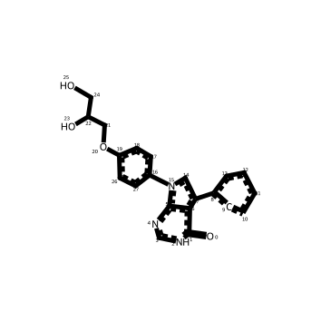 O=c1[nH]cnc2c1c(-c1ccccc1)cn2-c1ccc(OCC(O)CO)cc1